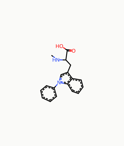 CNC(Cc1cn(-c2ccccc2)c2ccccc12)C(=O)O